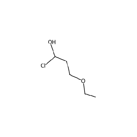 CCOCCC(O)Cl